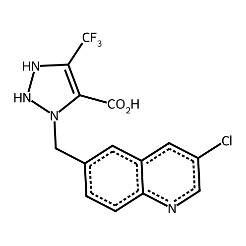 O=C(O)C1=C(C(F)(F)F)NNN1Cc1ccc2ncc(Cl)cc2c1